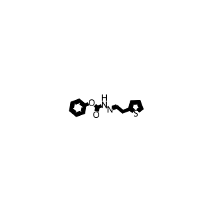 O=C(NN=CCc1cccs1)Oc1ccccc1